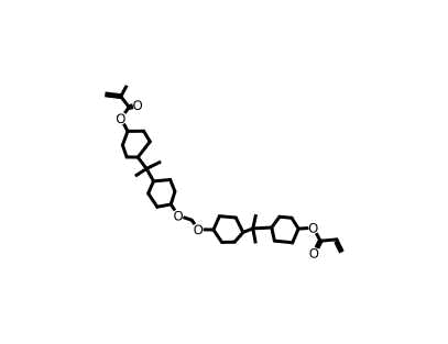 C=CC(=O)OC1CCC(C(C)(C)C2CCC(OCOC3CCC(C(C)(C)C4CCC(OC(=O)C(=C)C)CC4)CC3)CC2)CC1